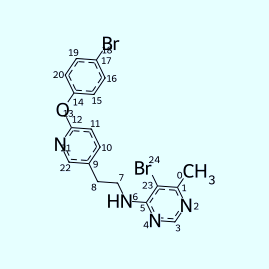 Cc1ncnc(NCCc2ccc(Oc3ccc(Br)cc3)nc2)c1Br